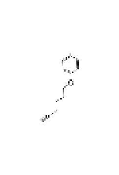 C#CCCCCOc1cc[c]cc1